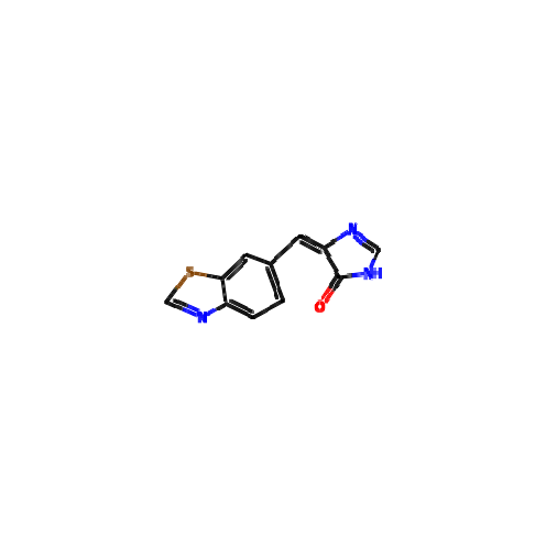 O=C1NC=NC1=Cc1ccc2ncsc2c1